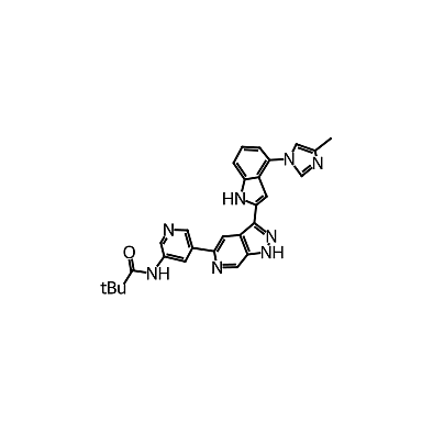 Cc1cn(-c2cccc3[nH]c(-c4n[nH]c5cnc(-c6cncc(NC(=O)C(C)(C)C)c6)cc45)cc23)cn1